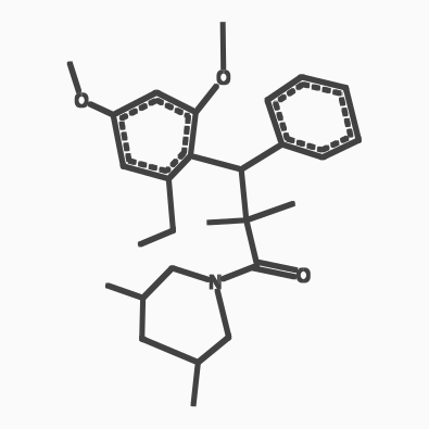 CCc1cc(OC)cc(OC)c1C(c1ccccc1)C(C)(C)C(=O)N1CC(C)CC(C)C1